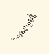 Cc1ccc(-n2nc(C(C)(C)C)cc2NC(=O)Nc2ccc(OCc3ccnc(Nc4cnc(C(=O)NC5CCN(CCO)CC5)cn4)c3)c3ccccc23)cc1